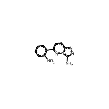 Nc1nnc2ccc(-c3ccccc3[N+](=O)[O-])nn12